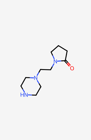 O=C1CCCN1CCN1CCNCC1